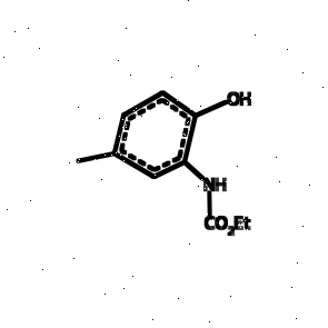 CCOC(=O)Nc1cc(C)ccc1O